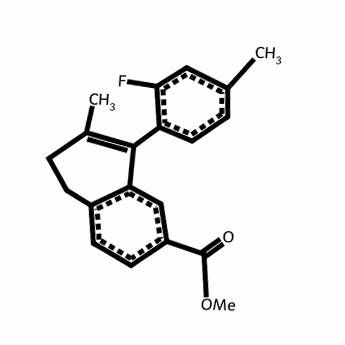 COC(=O)c1ccc2c(c1)C(c1ccc(C)cc1F)=C(C)CC2